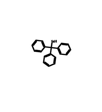 [SeH]C(c1ccccc1)(c1ccccc1)c1ccccc1